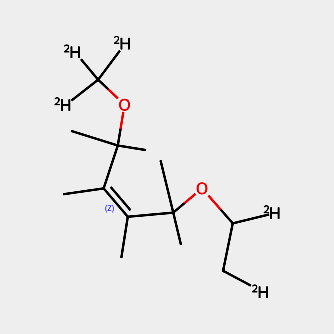 [2H]CC([2H])OC(C)(C)/C(C)=C(/C)C(C)(C)OC([2H])([2H])[2H]